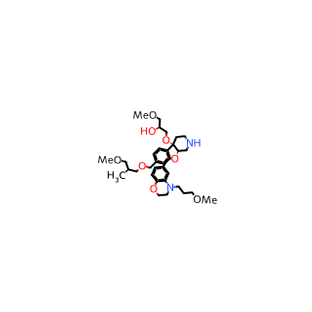 COCCCN1CCOc2ccc(CO[C@H]3CNCC[C@]3(OC[C@@H](O)COC)c3ccc(COC[C@@H](C)COC)cc3)cc21